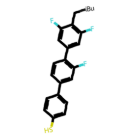 CCC(C)Cc1c(F)cc(-c2ccc(-c3ccc(S)cc3)cc2F)cc1F